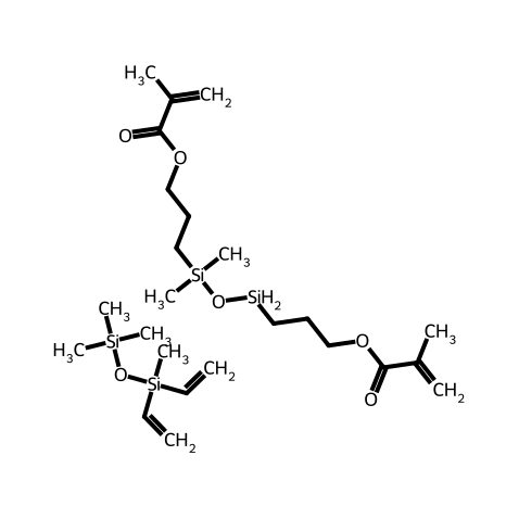 C=C(C)C(=O)OCCC[SiH2]O[Si](C)(C)CCCOC(=O)C(=C)C.C=C[Si](C)(C=C)O[Si](C)(C)C